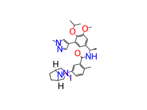 COc1cc([C@@H](C)NC(=O)c2cc(N3C[C@H]4CC[C@@H](C3)N4CI)ccc2C)cc(-c2cnn(C)c2)c1OC(C)C